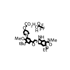 CCOc1cc2c(cc1C(=O)NC)C(=N)N(CC(=O)c1cc(N3CCC(OCC(=O)O)CC3)c(OC)c(C(C)(C)C)c1)C2.O=C(O)C(F)(F)F